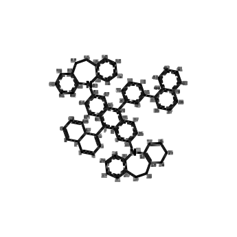 C1=CC2C=CC=C(c3c4cc(N5C6=C(CCC=C6)CCc6ccccc65)ccc4c(-c4cccc(-c5cccc6ccccc56)c4)c4cc(N5c6ccccc6CCc6ccccc65)ccc34)C2C=C1